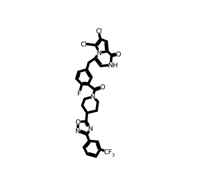 O=C(c1cc(Cc2c[nH]c(=O)c3cc(Cl)c(Cl)n23)ccc1F)N1CCC(c2nc(-c3cccc(C(F)(F)F)c3)no2)CC1